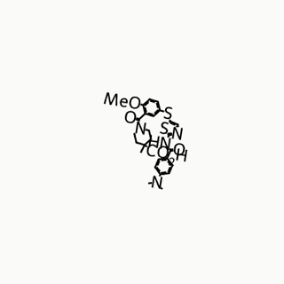 COc1ccc(Sc2cnc(NC(=O)c3ccc(N(C)C)cc3)s2)cc1C(=O)N1CCC(C)(C(=O)O)CC1